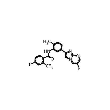 Cc1ccc(-c2cn3cc(F)cnc3n2)cc1NC(=O)c1ccc(F)cc1C(F)(F)F